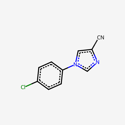 N#Cc1cn(-c2ccc(Cl)cc2)cn1